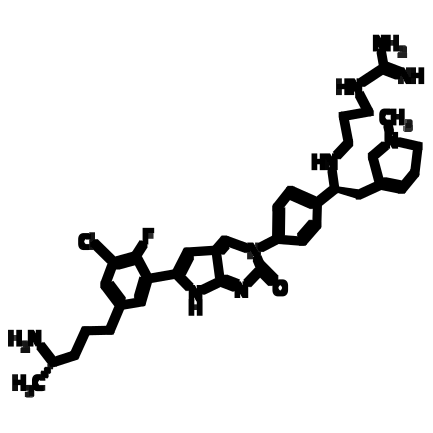 C[C@H](N)CCCc1cc(Cl)c(F)c(-c2cc3cn(-c4ccc([C@H](CC5=CCCN(C)C5)NCCCNC(=N)N)cc4)c(=O)nc3[nH]2)c1